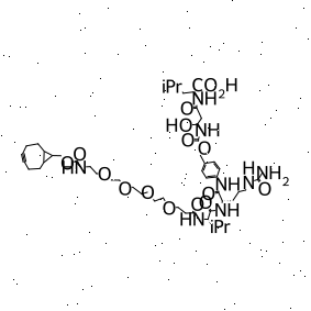 CC(C)CC(NC(=O)CC(O)NC(=O)OCc1ccc(NC(=O)[C@H](CCCNC(N)=O)NC(=O)[C@@H](NC(=O)CCOCCOCCOCCOCCNC(=O)OCC2C3CCC#CCCC32)C(C)C)cc1)C(=O)O